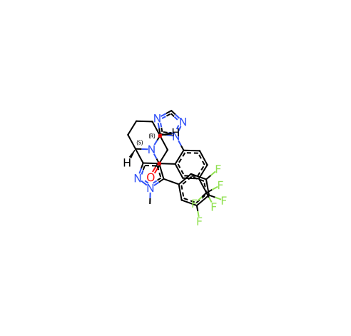 Cn1nc2c(c1-c1cc(F)c(F)c(F)c1)C[C@H]1CCC[C@@H]2N1C(=O)c1cc(C(F)(F)F)ccc1-n1cncn1